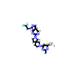 Cc1nc(N2CCC3(CCN(c4ncc5cnn(CC(F)F)c5n4)C3)C2)cc(C(F)(F)F)n1